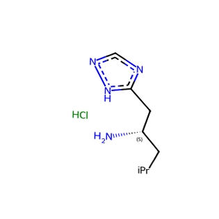 CC(C)C[C@H](N)Cc1ncn[nH]1.Cl